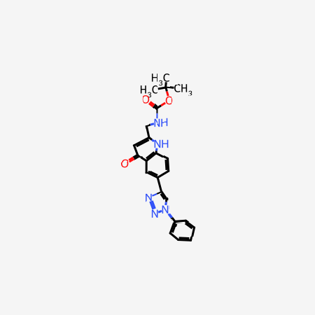 CC(C)(C)OC(=O)NCc1cc(=O)c2cc(-c3cn(-c4ccccc4)nn3)ccc2[nH]1